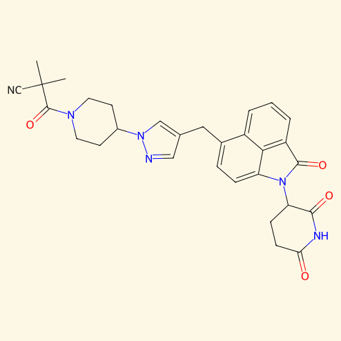 CC(C)(C#N)C(=O)N1CCC(n2cc(Cc3ccc4c5c(cccc35)C(=O)N4C3CCC(=O)NC3=O)cn2)CC1